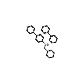 [c]1ccc(-c2ccc([Se]Cc3ccccc3)cc2)cc1.c1ccc(-c2ccccc2)cc1